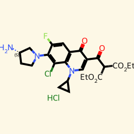 CCOC(=O)C(C(=O)OCC)C(=O)c1cn(C2CC2)c2c(Cl)c(N3CC[C@H](N)C3)c(F)cc2c1=O.Cl